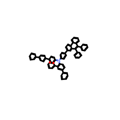 c1ccc(-c2ccc(-c3ccc(N(c4ccc(-c5ccc6c(c5)c(-c5ccccc5)c(-c5ccccc5)c5ccccc56)cc4)c4ccc(-c5ccccc5)cc4-c4ccccc4)cc3)cc2)cc1